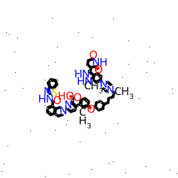 CNc1cc(N2CCN(C(C)CCCC3CCC(Oc4cccc(-c5ccc(N6CCc7cccc(C(=O)Nc8nc9ccccc9s8)c7C6)nc5C(=O)O)c4C)CC3)CC2)ccc1C(=N)C1CCC(=O)NC1=O